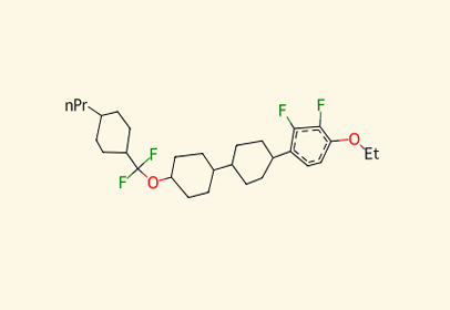 CCCC1CCC(C(F)(F)OC2CCC(C3CCC(c4ccc(OCC)c(F)c4F)CC3)CC2)CC1